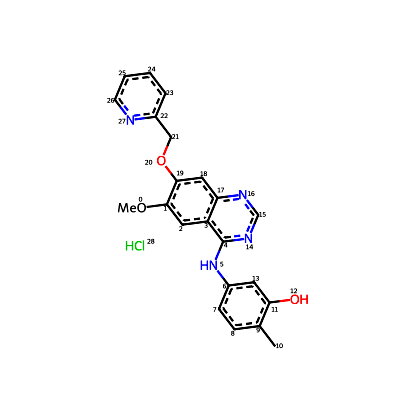 COc1cc2c(Nc3ccc(C)c(O)c3)ncnc2cc1OCc1ccccn1.Cl